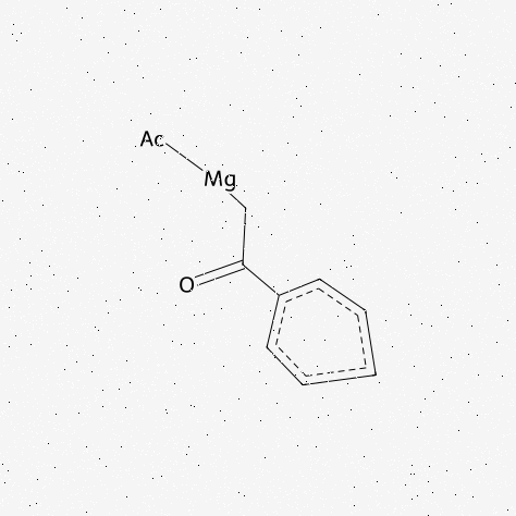 C[C](=O)[Mg][CH2]C(=O)c1ccccc1